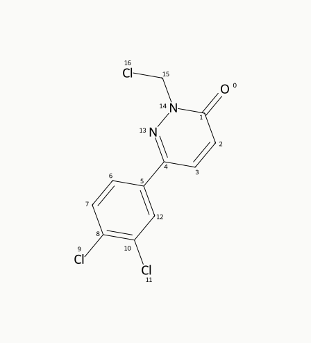 O=c1ccc(-c2ccc(Cl)c(Cl)c2)nn1CCl